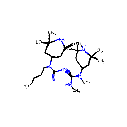 C=C1CC(N(CCCC)C(=N)/N=C(\NC)N(C)C2CC(C)(C)NC(C)(C)C2)CC(C)(C)N1